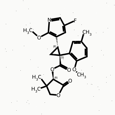 COc1ccc(C)cc1[C@]1(C(=O)O[C@H]2C(=O)OCC2(C)C)C[C@@H]1c1cc(F)cnc1OC